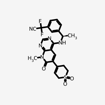 C[C@@H](Nc1ncnc2c1cc(C1=CCS(=O)(=O)CC1)c(=O)n2C)c1cccc(C(F)(F)C#N)c1